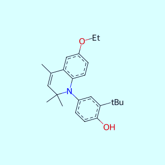 CCOc1ccc2c(c1)C(C)=CC(C)(C)N2c1ccc(O)c(C(C)(C)C)c1